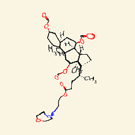 C[C@H](CCC(=O)OCCN1CCOCC1)[C@H]1CC[C@H]2[C@@H]3[C@H](OC=O)C[C@@H]4C[C@H](OC=O)CC[C@]4(C)[C@H]3C[C@H](OC=O)[C@]12C